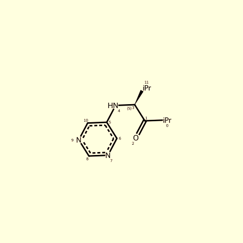 CC(C)C(=O)[C@@H](Nc1cncnc1)C(C)C